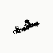 COc1cc(CCC2CCN(c3ccc(-c4ccc(OCc5ccccc5)nc4OCc4ccccc4)cc3F)CC2)ccc1Cl